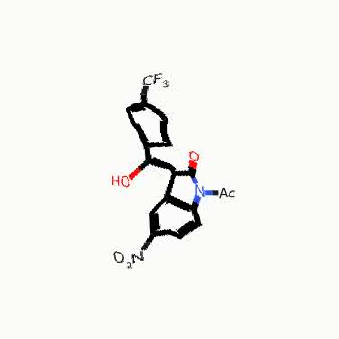 CC(=O)N1C(=O)/C(=C(/O)c2ccc(C(F)(F)F)cc2)c2cc([N+](=O)[O-])ccc21